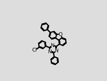 Clc1cccc(-c2nc(-c3ccccc3)nc(-c3cccc4oc5cc(-c6ccccc6)ccc5c34)n2)c1